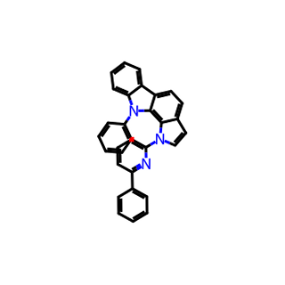 c1ccc(-c2cccc(-n3ccc4ccc5c6ccccc6n(-c6ccccc6)c5c43)n2)cc1